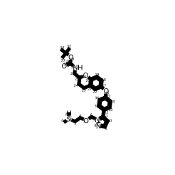 C[SiH](C)CCOCn1nccc1-c1ccc(Oc2ccc3c(c2)CCC(CNC(=O)OC(C)(C)C)O3)cc1